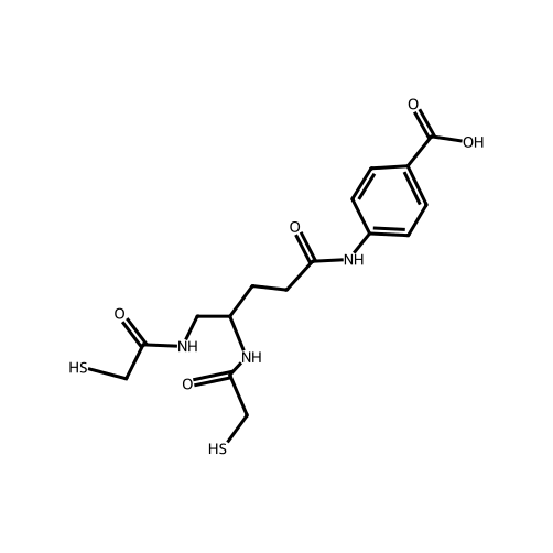 O=C(CS)NCC(CCC(=O)Nc1ccc(C(=O)O)cc1)NC(=O)CS